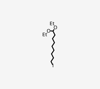 CCOC(CCCCCCCCI)OCC